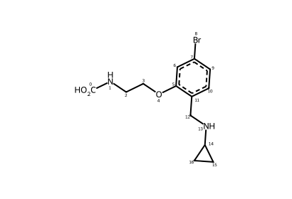 O=C(O)NCCOc1cc(Br)ccc1CNC1CC1